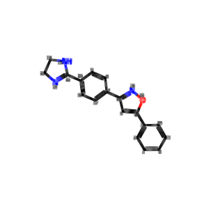 c1ccc(-c2cc(-c3ccc(C4=NCCN4)cc3)no2)cc1